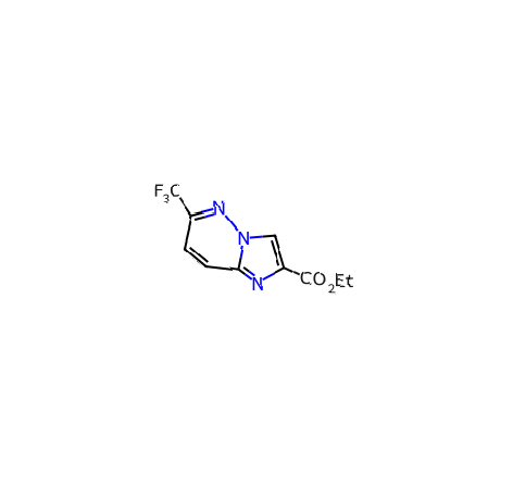 CCOC(=O)c1cn2nc(C(F)(F)F)ccc2n1